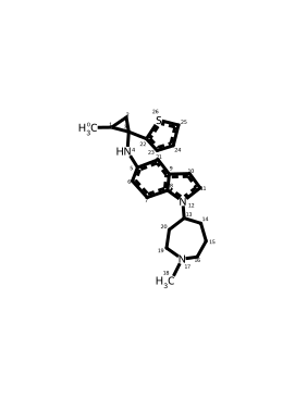 CC1CC1(Nc1ccc2c(ccn2C2CCCN(C)CC2)c1)c1cccs1